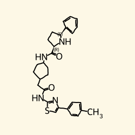 Cc1ccc(-c2csc(NC(=O)CC3CCC(NC(=O)[C@H]4CC[C@@H](c5ccccc5)N4)CC3)n2)cc1